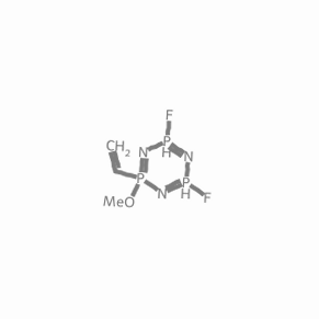 C=CP1(OC)=N[PH](F)=N[PH](F)=N1